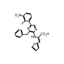 O=C(O)/C(=C/c1ccco1)Nc1ncc(-c2cccc([N+](=O)[O-])c2F)nc1Cc1ccccc1